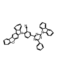 N#Cc1cc(-c2nc(-c3ccccc3)nc(-n3c4ccccc4c4ccccc43)n2)ccc1-n1c2ccccc2c2cc3c(cc21)oc1ccccc13